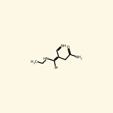 CCN/C(Br)=C(\C=N)CC(N)=O